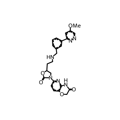 COc1cnnc(-c2cccc(CNCCC3CN(c4ccc5c(n4)NC(=O)CO5)C(=O)O3)c2)c1